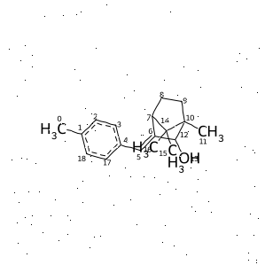 Cc1ccc(C=C2C3CCC(C)(C2O)C3(C)C)cc1